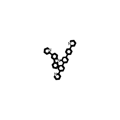 C1=C(C2=CC=C(c3ccc(-c4ccccn4)cc3)CC2n2c3ccccc3c3cc(-c4ccccn4)ccc32)CCC(c2ccccn2)=C1